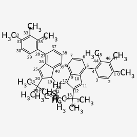 Cc1ccc(-c2cccc3c2C=C(C(C)(C)C)[CH]3[Hf]([CH]2C(C(C)(C)C)=Cc3c(-c4ccc(C)c(C)c4C)cccc32)[SiH](C)C)c(C)c1C